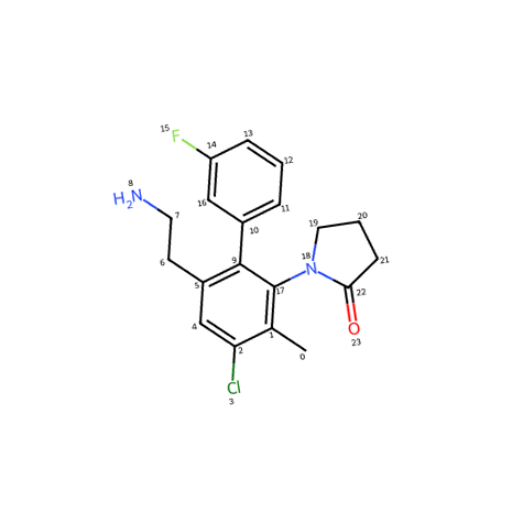 Cc1c(Cl)cc(CCN)c(-c2cccc(F)c2)c1N1CCCC1=O